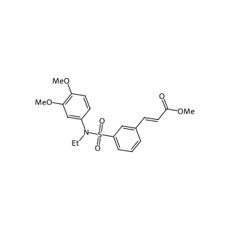 CCN(c1ccc(OC)c(OC)c1)S(=O)(=O)c1cccc(C=CC(=O)OC)c1